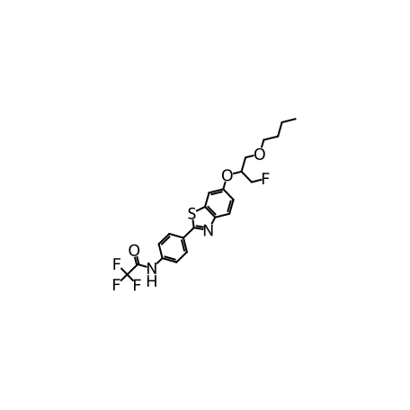 CCCCOCC(CF)Oc1ccc2nc(-c3ccc(NC(=O)C(F)(F)F)cc3)sc2c1